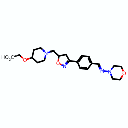 O=C(O)COC1CCN(CC2CC(c3ccc(C=NN4CCOCC4)cc3)=NO2)CC1